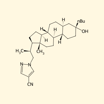 CCCC[C@@]1(O)CC[C@H]2[C@@H](CC[C@@H]3[C@@H]2CC[C@]2(C)[C@@H]([C@H](C)Cn4cc(C#N)cn4)CC[C@@H]32)C1